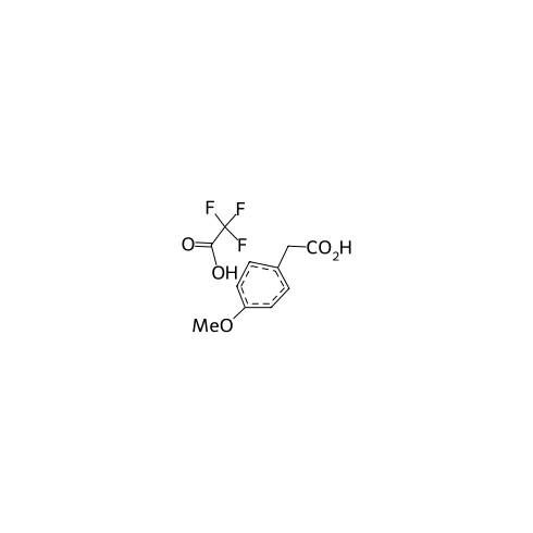 COc1ccc(CC(=O)O)cc1.O=C(O)C(F)(F)F